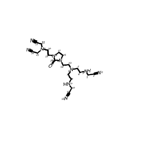 N#CCNCCN(CCNCC#N)CCN1CCN(CCN(CC#N)CC#N)C1=O